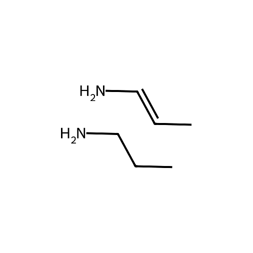 CC=CN.CCCN